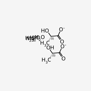 C[C@H](O)C(=O)[O-].C[C@H](O)C(=O)[O-].O.O.O.[Mg+2]